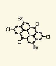 O=c1c2cc(Br)c3cc(Cl)cc4c(=O)c5cc(Br)c6cc(Cl)cc1c6c5-c2c34